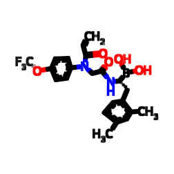 C=CC(=O)N(CC(=O)N[C@@H](Cc1ccc(C)cc1C)B(O)O)c1ccc(OC(F)(F)F)cc1